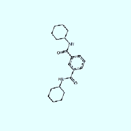 O=C(NC1CCCCC1)c1cccc(C(=O)NC2CCCCC2)c1